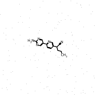 CCCC(C#N)c1ccc(-c2cnc(N)nc2)nc1